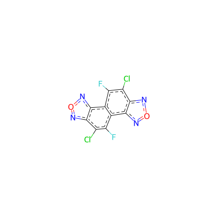 Fc1c(Cl)c2nonc2c2c(F)c(Cl)c3nonc3c12